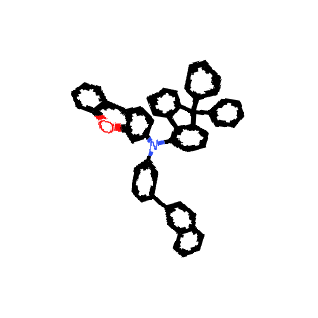 c1ccc(C2(c3ccccc3)c3ccccc3-c3c(N(c4cccc(-c5ccc6ccccc6c5)c4)c4ccc5c(c4)oc4ccccc45)cccc32)cc1